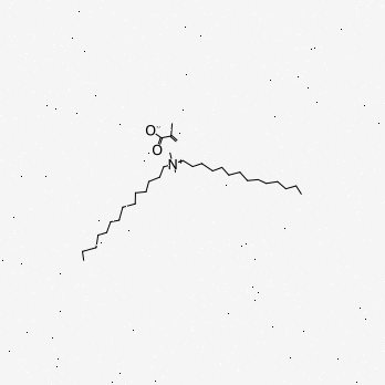 C=C(C)C(=O)[O-].CCCCCCCCCCCCCC[N+](C)(C)CCCCCCCCCCCCCC